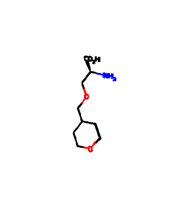 N[C@@H](COCC1CCOCC1)C(=O)O